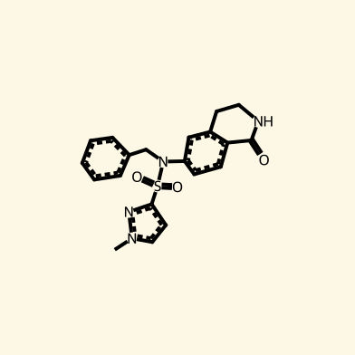 Cn1ccc(S(=O)(=O)N(Cc2ccccc2)c2ccc3c(c2)CCNC3=O)n1